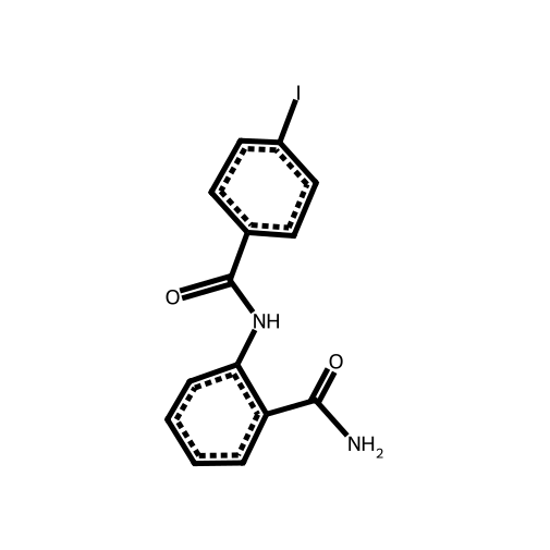 NC(=O)c1ccccc1NC(=O)c1ccc(I)cc1